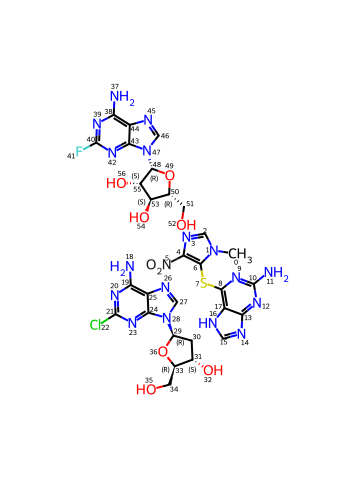 Cn1cnc([N+](=O)[O-])c1Sc1nc(N)nc2nc[nH]c12.Nc1nc(Cl)nc2c1ncn2[C@H]1C[C@H](O)[C@@H](CO)O1.Nc1nc(F)nc2c1ncn2[C@@H]1O[C@H](CO)[C@@H](O)[C@@H]1O